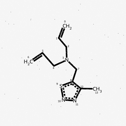 C=CCN(CC=C)Cc1snnc1C